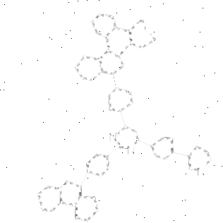 c1cncc(-c2ccc(-c3cc(-c4ccc(-c5cc6c7ccccc7c7ccccc7c6c6ccccc56)cc4)nc(-c4ccc(-c5cc6ccccc6c6ccccc56)cc4)n3)cc2)c1